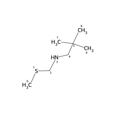 CSCNCC(C)(C)C